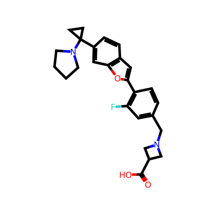 O=C(O)C1CN(Cc2ccc(-c3cc4ccc(C5(N6CCCC6)CC5)cc4o3)c(F)c2)C1